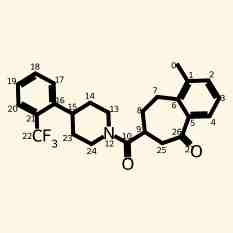 Cc1cccc2c1CCC(C(=O)N1CCC(c3ccccc3C(F)(F)F)CC1)CC2=O